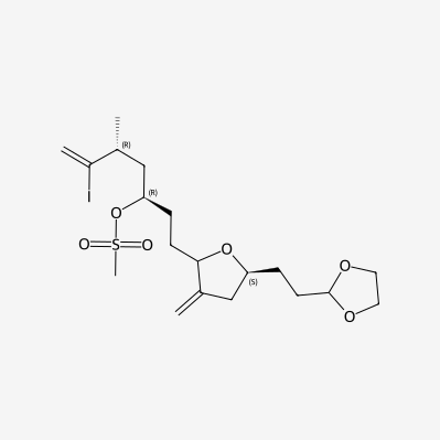 C=C1C[C@H](CCC2OCCO2)OC1CC[C@H](C[C@@H](C)C(=C)I)OS(C)(=O)=O